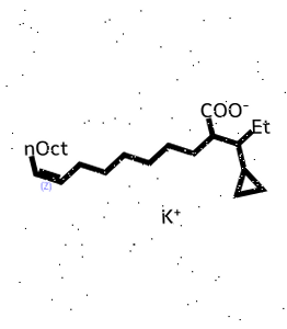 CCCCCCCC/C=C\CCCCCCC(C(=O)[O-])C(CC)C1CC1.[K+]